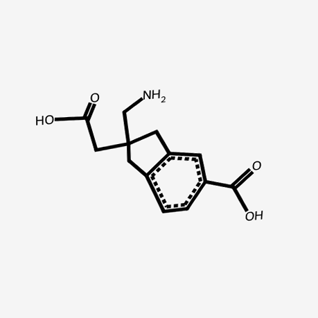 NCC1(CC(=O)O)Cc2ccc(C(=O)O)cc2C1